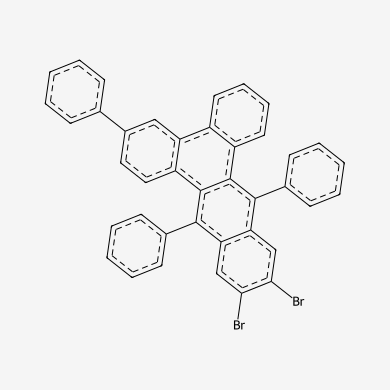 Brc1cc2c(-c3ccccc3)c3c4ccccc4c4cc(-c5ccccc5)ccc4c3c(-c3ccccc3)c2cc1Br